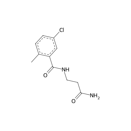 Cc1ccc(Cl)cc1C(=O)NCCC(N)=O